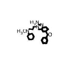 CN(CCCN1Cc2cc(C(=O)c3ccccc3)ccc2N=C1N)C1CCCCC1